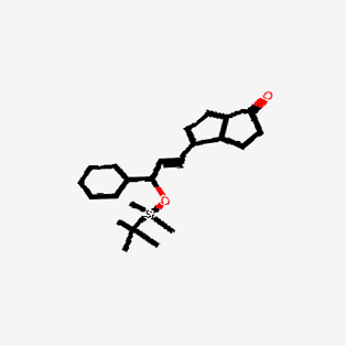 CC(C)(C)[Si](C)(C)OC(/C=C/C1CCC2C(=O)CCC12)C1CCCCC1